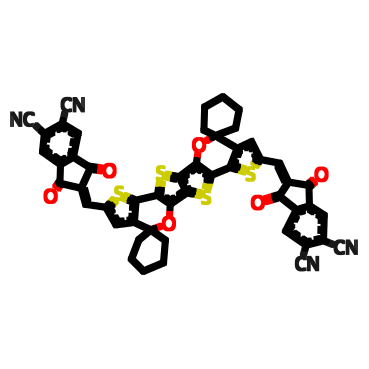 N#Cc1cc2c(cc1C#N)C(=O)C(=Cc1cc3c(s1)-c1sc4c5c(sc4c1OC31CCCCC1)-c1sc(C=C3C(=O)c4cc(C#N)c(C#N)cc4C3=O)cc1C1(CCCCC1)O5)C2=O